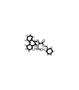 CBn1c(C(=O)OCc2ccccc2)nc2c3ccccc3c3ccccc3c21